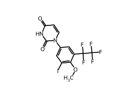 COc1c(I)cc(-n2ccc(=O)[nH]c2=O)cc1C(F)(F)C(F)(F)F